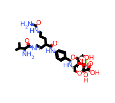 CC(C)C(N)C(=O)NCCC(CCCNC(N)=O)C(=O)Nc1ccc(C(N[C@H]2COC(O)(C(=O)O)[C@H](F)[C@@H]2O)O[C@H](CO)C(C)O)cc1